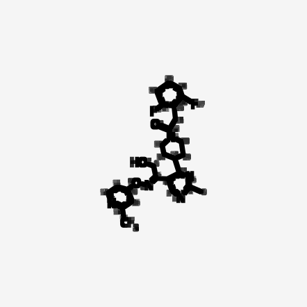 Cc1ncc(C(CO)=NOc2ccnc(C(F)(F)F)c2)c(C2CCN(C(=O)Cc3c(F)cccc3F)CC2)n1